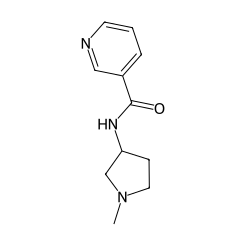 CN1CCC(NC(=O)c2cccnc2)C1